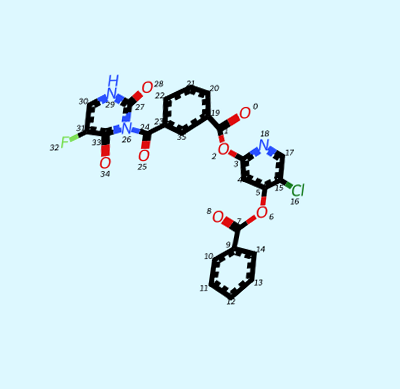 O=C(Oc1cc(OC(=O)c2ccccc2)c(Cl)cn1)c1cccc(C(=O)n2c(=O)[nH]cc(F)c2=O)c1